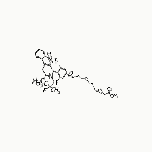 C[C@@H]1Cc2c([nH]c3ccccc23)[C@@H](c2c(F)cc(OCCCOCCCOCC(=O)O)cc2F)N1CC(C)(C)F